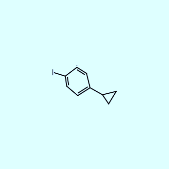 Ic1[c]cc(C2CC2)cc1